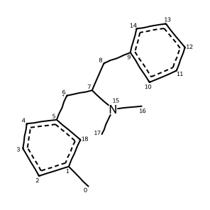 Cc1cccc([CH]C(Cc2ccccc2)N(C)C)c1